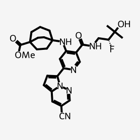 COC(=O)C12CCCC(Nc3cc(-c4ccc5cc(C#N)cnn45)ncc3C(=O)NC[C@@H](F)C(C)(C)O)(CC1)CC2